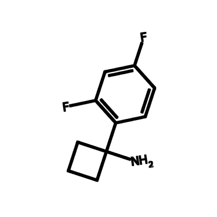 NC1(c2ccc(F)cc2F)CCC1